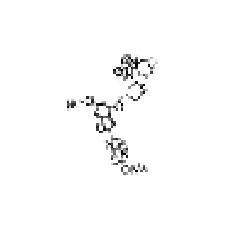 COc1cc(OCC2CCSC(C3(NS(=O)(=O)C(C)(C)C)CCOCC3)C2)c2cc(-c3cn4nc(OC)sc4n3)oc2c1